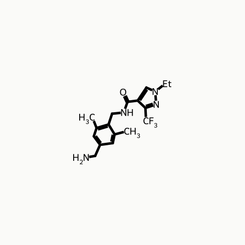 CCn1cc(C(=O)NCc2c(C)cc(CN)cc2C)c(C(F)(F)F)n1